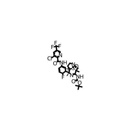 CC(C)(C)OC(=O)NC1=N[C@](C)(C2C=C(NC(=O)c3ncc(C(F)(F)F)cc3Cl)C=CC2F)[C@@H]2CCN=[S@]2(=O)C1(C)C